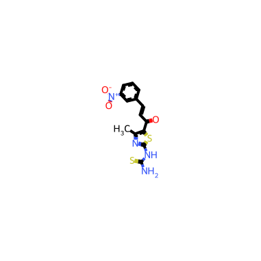 Cc1nc(NC(N)=S)sc1C(=O)C=Cc1cccc([N+](=O)[O-])c1